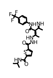 CC(=N)/C(C(=O)Nc1ccc(C(F)(F)F)cc1)=C(\C)NNC(=O)c1ccc(C(=O)NC(C)C)s1